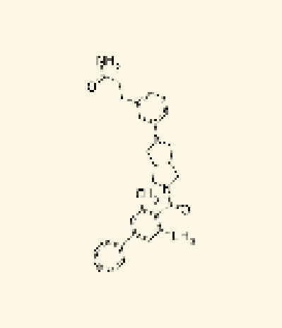 Cc1cc(-c2ccncc2)cc(C)c1C(=O)N1CC2CN(c3cccc(CCC(N)=O)c3)CC2C1